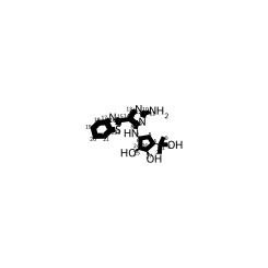 CC(C)(O)[C@H]1C[C@@H](Nc2nc(N)ncc2-c2nc3ccccc3s2)[C@H](O)[C@@H]1O